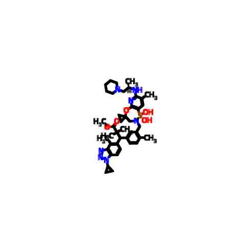 COC(=O)C(C)(C)C(c1ccc(C)c(CN2CC3(CC3)Oc3nc(N[C@@H](C)CN4CCCCC4)c(C)cc3S2(O)O)c1)c1ccc2c(nnn2C2CC2)c1C